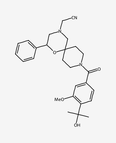 COc1cc(C(=O)N2CCC3(CC2)CN(CC#N)CC(c2ccccc2)O3)ccc1C(C)(C)O